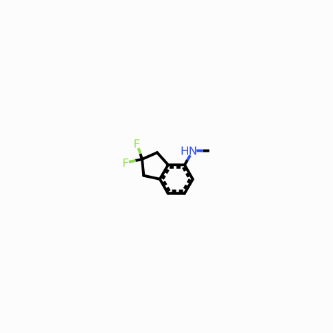 CNc1cccc2c1CC(F)(F)C2